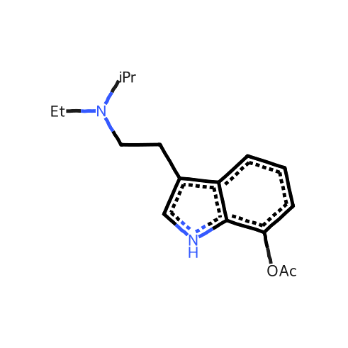 CCN(CCc1c[nH]c2c(OC(C)=O)cccc12)C(C)C